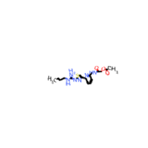 CCCCN/C(N)=N/c1nc(-c2cccc(CNC(=O)COC(C)=O)n2)cs1